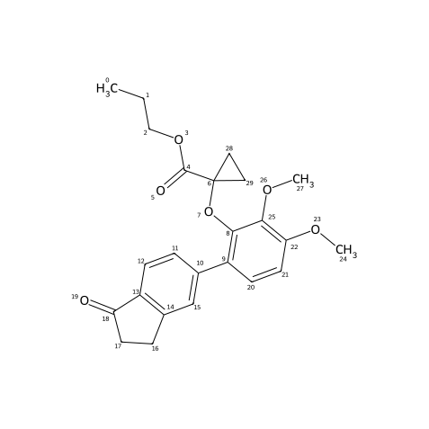 CCCOC(=O)C1(Oc2c(-c3ccc4c(c3)CCC4=O)ccc(OC)c2OC)CC1